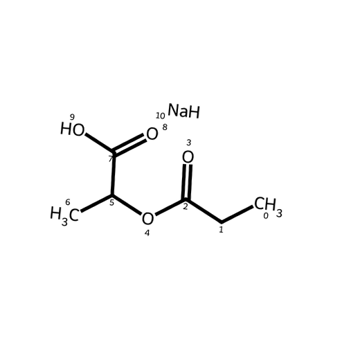 CCC(=O)OC(C)C(=O)O.[NaH]